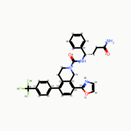 NC(=O)CC[C@H](NC(=O)N1CCc2c(-c3ccc(C(F)(F)F)cc3)ccc(-c3ncco3)c2C1)c1ccccc1